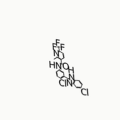 Cc1nc(C(F)(F)F)ccc1C(=O)Nc1ccc(Cl)c(-c2nc3cc(Cl)ccc3[nH]2)c1